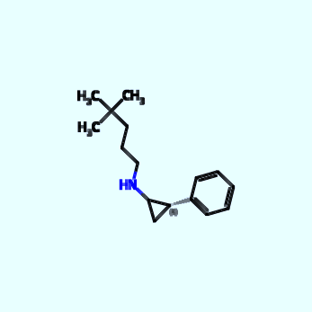 CC(C)(C)CCCNC1C[C@H]1c1ccccc1